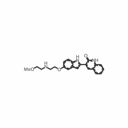 COCCNCCOc1ccc2[nH]c(-c3cc4ccccc4[nH]c3=O)cc2c1